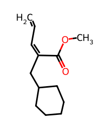 C=CC=C(CC1CCCCC1)C(=O)OC